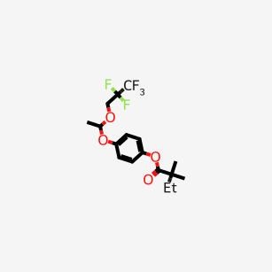 CCC(C)(C)C(=O)Oc1ccc(OC(C)OCC(F)(F)C(F)(F)F)cc1